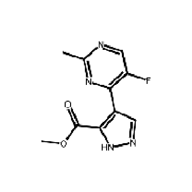 COC(=O)c1[nH]ncc1-c1nc(C)ncc1F